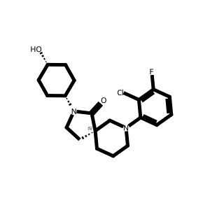 O=C1N([C@H]2CC[C@@H](O)CC2)CC[C@]12CCCN(c1cccc(F)c1Cl)C2